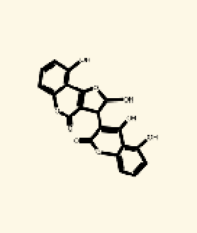 O=c1oc2cccc(O)c2c(O)c1C1c2c(c3c(O)cccc3oc2=O)OC1O